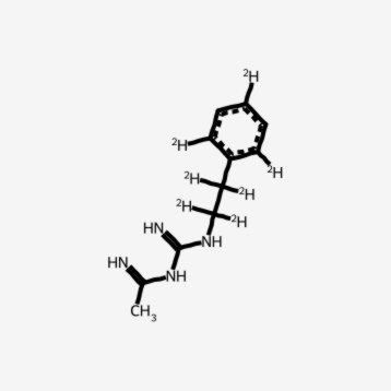 [2H]c1cc([2H])c(C([2H])([2H])C([2H])([2H])NC(=N)NC(C)=N)c([2H])c1